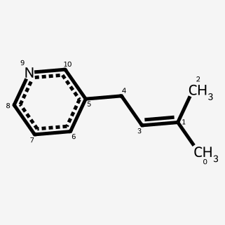 CC(C)=CCc1cccnc1